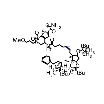 CCN(C(=O)CCC/C=C\C[C@H]1C(O[Si](C)(C)C(C)(C)C)CC(O[Si](C)(C)C(C)(C)C)[C@@H]1CC[C@@H](CCc1ccccc1)O[Si](C)(C)C(C)(C)C)C1CN(CCCOC)S(=O)(=O)c2sc(S(N)(=O)=O)cc21